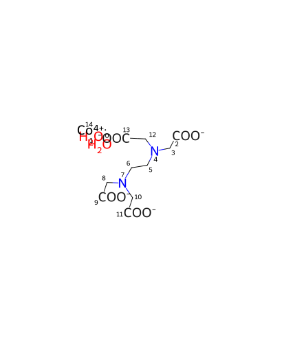 O.O.O=C([O-])CN(CCN(CC(=O)[O-])CC(=O)[O-])CC(=O)[O-].[Co+4]